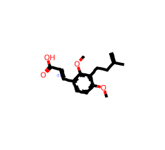 C=C(C)CCc1c(OC)ccc(/C=C/C(=O)O)c1OC